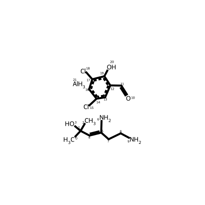 CC(C)(O)C=C(N)CCN.O=Cc1cc(Cl)cc(Cl)c1O.[AlH3]